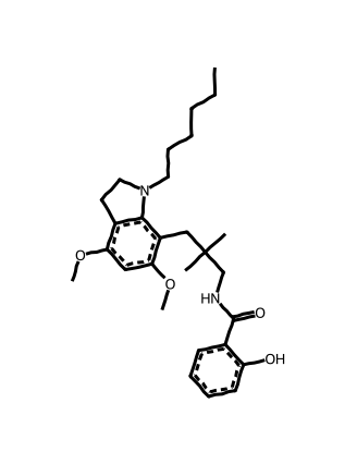 CCCCCCN1CCc2c(OC)cc(OC)c(CC(C)(C)CNC(=O)c3ccccc3O)c21